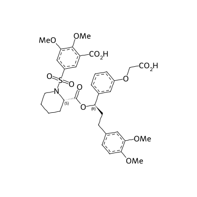 COc1ccc(CC[C@@H](OC(=O)[C@@H]2CCCCN2S(=O)(=O)c2cc(OC)c(OC)c(C(=O)O)c2)c2cccc(OCC(=O)O)c2)cc1OC